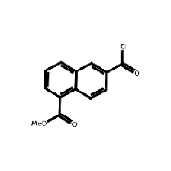 COC(=O)c1cccc2cc(C(=O)Cl)ccc12